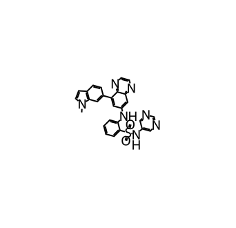 Cn1ccc2ccc(-c3cc(Nc4ccccc4S(=O)(=O)Nc4cncnc4)cc4nccnc34)cc21